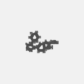 CC(C)(C)c1cc2cc(-n3nncc3-c3ccccc3)ccc2[nH]1